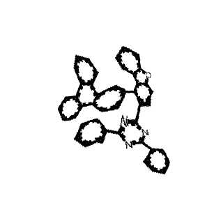 c1ccc(-c2nc(-c3ccccc3)nc(-c3ccc4oc5ccccc5c4c3-c3ccc4c5ccccc5c5ccccc5c4c3)n2)cc1